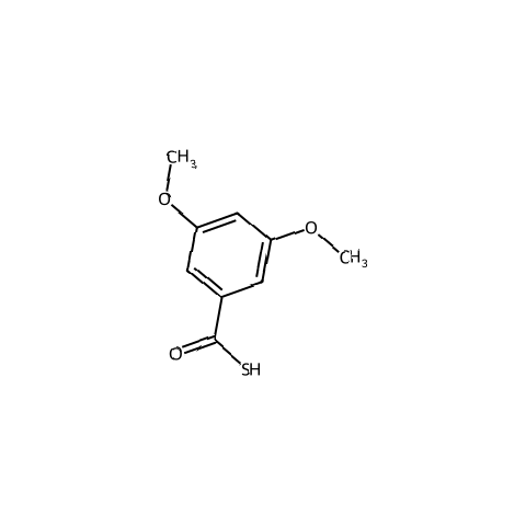 COc1cc(OC)cc(C(=O)S)c1